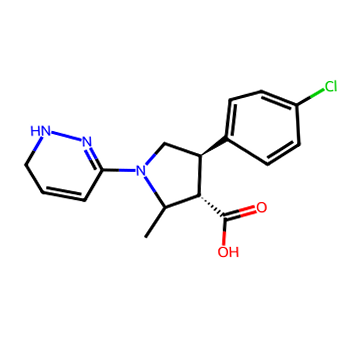 CC1[C@@H](C(=O)O)[C@H](c2ccc(Cl)cc2)CN1C1=NNCC=C1